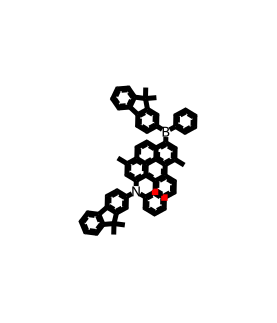 Cc1cc(N(c2ccccc2)c2ccc3c(c2)C(C)(C)c2ccccc2-3)c2c3ccccc3c3c(C)cc(B(c4ccccc4)c4ccc5c(c4)C(C)(C)c4ccccc4-5)c4ccc1c2c43